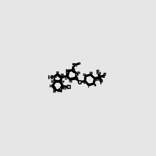 CSc1nc(OC2CCC(C(F)(F)F)CC2)cc(-c2c[nH]c3ccnc(Cl)c23)n1